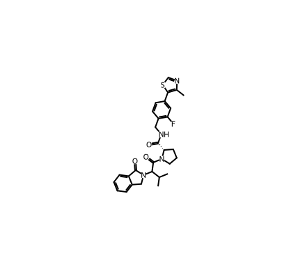 Cc1ncsc1-c1ccc(CNC(=O)[C@@H]2CCCN2C(=O)C(C(C)C)N2Cc3ccccc3C2=O)c(F)c1